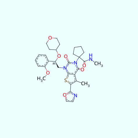 CNC(=O)C1(n2c(=O)c3c(C)c(-c4ncco4)sc3n(C[C@H](OC3CCOCC3)c3ccccc3OC)c2=O)CCCC1